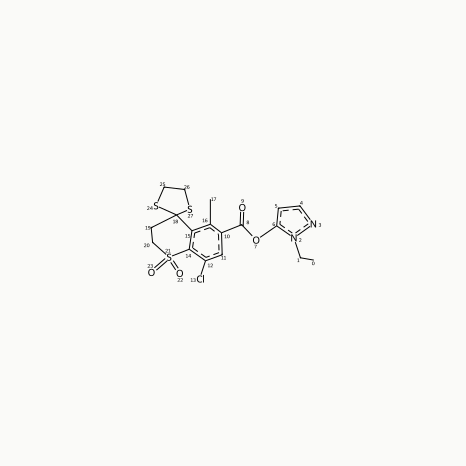 CCn1nccc1OC(=O)c1cc(Cl)c2c(c1C)C1(CCS2(=O)=O)SCCS1